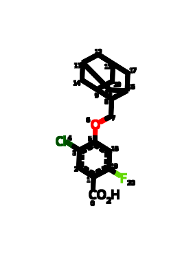 O=C(O)c1cc(Cl)c(OCC2C3CC4CC(C3)CC2C4)cc1F